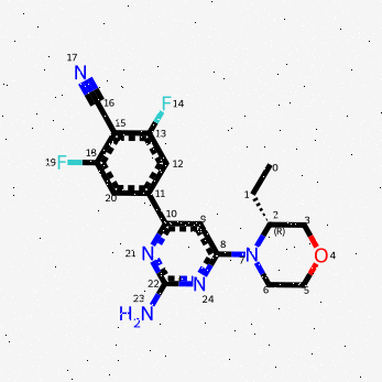 CC[C@@H]1COCCN1c1cc(-c2cc(F)c(C#N)c(F)c2)nc(N)n1